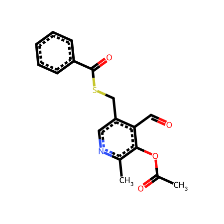 CC(=O)Oc1c(C)ncc(CSC(=O)c2ccccc2)c1C=O